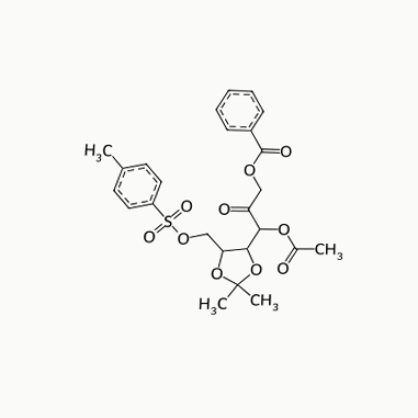 CC(=O)OC(C(=O)COC(=O)c1ccccc1)C1OC(C)(C)OC1COS(=O)(=O)c1ccc(C)cc1